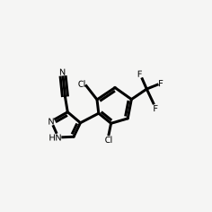 N#Cc1n[nH]cc1-c1c(Cl)cc(C(F)(F)F)cc1Cl